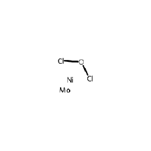 ClOCl.[Mo].[Ni]